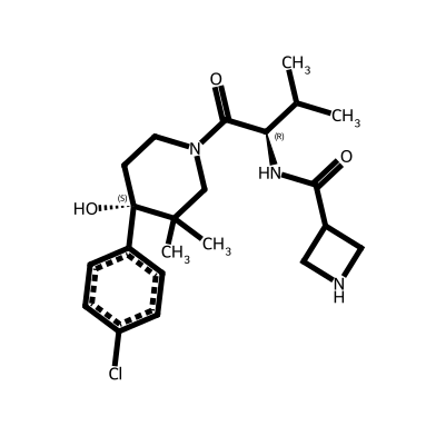 CC(C)[C@@H](NC(=O)C1CNC1)C(=O)N1CC[C@](O)(c2ccc(Cl)cc2)C(C)(C)C1